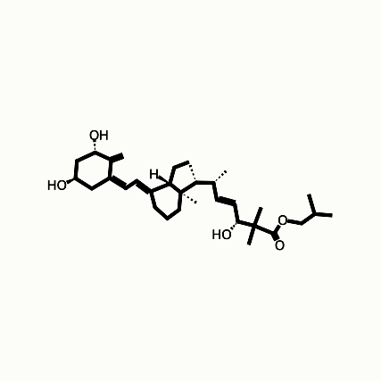 C=C1/C(=C\C=C2/CCC[C@]3(C)[C@@H]([C@H](C)/C=C/[C@@H](O)C(C)(C)C(=O)OCC(C)C)CC[C@@H]23)C[C@@H](O)C[C@@H]1O